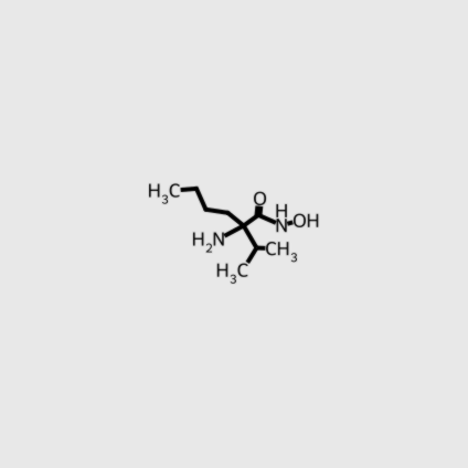 CCCCC(N)(C(=O)NO)C(C)C